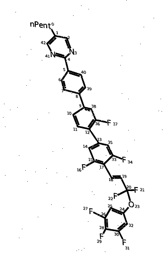 CCCCCc1cnc(-c2ccc(-c3ccc(-c4cc(F)c(/C=C/C(F)(F)Oc5cc(F)c(F)c(F)c5)c(F)c4)c(F)c3)cc2)nc1